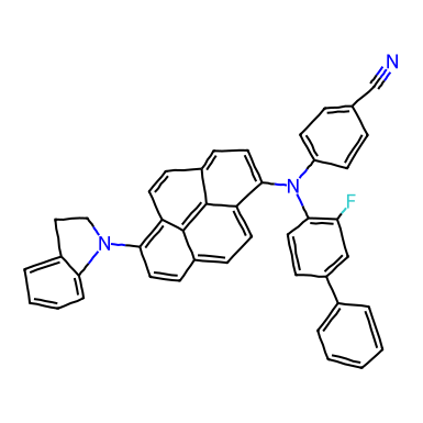 N#Cc1ccc(N(c2ccc(-c3ccccc3)cc2F)c2ccc3ccc4c(N5CCc6ccccc65)ccc5ccc2c3c54)cc1